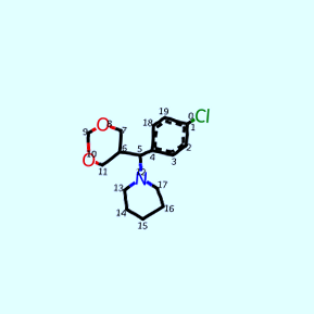 Clc1ccc(C(C2COCOC2)N2CCCCC2)cc1